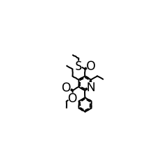 CCCc1c(C(=O)SCC)c(CC)nc(-c2ccccc2)c1C(=O)OCC